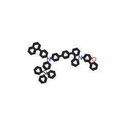 c1ccc([Si](c2ccccc2)(c2ccccc2)c2ccc(N(c3ccc(-c4ccc(-c5cccc6c5c5ccccc5n6-c5ccc6oc7ccccc7c6c5)cc4)cc3)c3ccc(-c4cccc5ccccc45)cc3)cc2)cc1